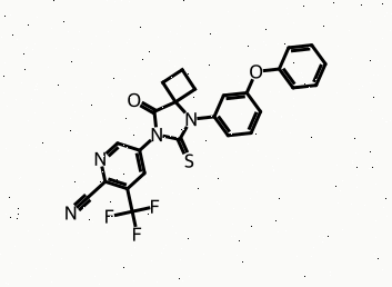 N#Cc1ncc(N2C(=O)C3(CCC3)N(c3cccc(Oc4ccccc4)c3)C2=S)cc1C(F)(F)F